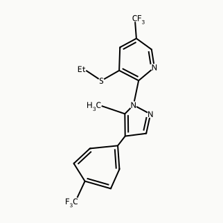 CCSc1cc(C(F)(F)F)cnc1-n1ncc(-c2ccc(C(F)(F)F)cc2)c1C